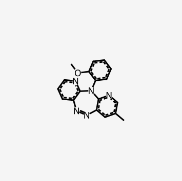 COc1ccccc1N1c2ncccc2N=Nc2cc(C)cnc21